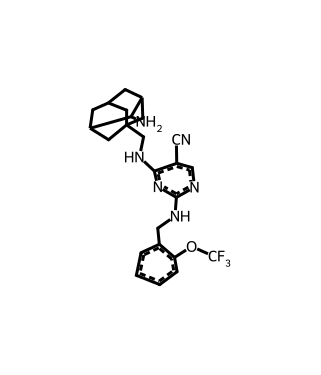 N#Cc1cnc(NCc2ccccc2OC(F)(F)F)nc1NCC12CC3CC(C1)C(N)C(C3)C2